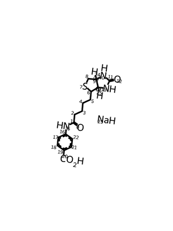 O=C(CCCCC1SC[C@@H]2NC(=O)N[C@H]12)Nc1ccc(C(=O)O)cc1.[NaH]